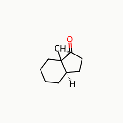 CC12CCCC[C@@H]1CCC2=O